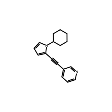 C(#Cc1cccn1C1CCCCC1)c1cccnc1